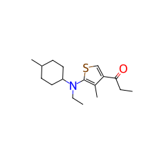 CCC(=O)c1csc(N(CC)C2CCC(C)CC2)c1C